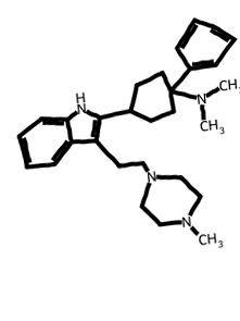 CN1CCN(CCc2c(C3CCC(c4ccccc4)(N(C)C)CC3)[nH]c3ccccc23)CC1